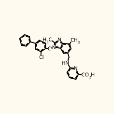 Cc1cc(CNc2cccc(C(=O)O)n2)cc2c1nc(C)n2Cc1ccc(-c2ccccc2)cc1Cl